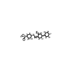 COC(=O)c1ccc(C=Nc2ccc(-c3ccccc3)cc2F)cc1